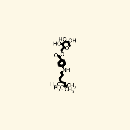 CC(CCCNc1ccc(C(=O)OCC2OC[C@@H](O)C(O)C2O)cc1)CC(C)(C)C